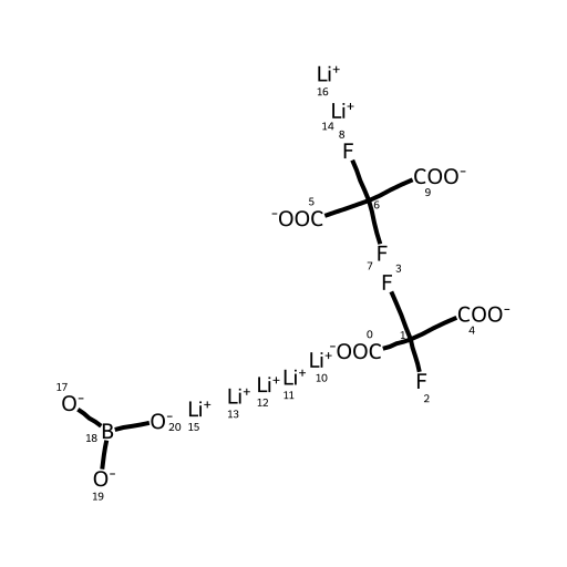 O=C([O-])C(F)(F)C(=O)[O-].O=C([O-])C(F)(F)C(=O)[O-].[Li+].[Li+].[Li+].[Li+].[Li+].[Li+].[Li+].[O-]B([O-])[O-]